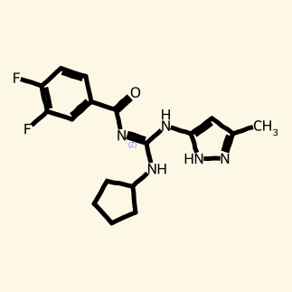 Cc1cc(N/C(=N\C(=O)c2ccc(F)c(F)c2)NC2CCCC2)[nH]n1